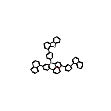 c1ccc(-c2ccc(-c3cccc4ccccc34)cc2N(c2ccc(-c3cccc(-c4cccc5ccccc45)c3)cc2)c2ccc(-c3cccc4c3oc3ccccc34)cc2)cc1